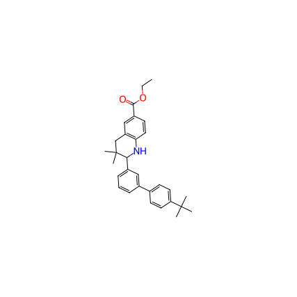 CCOC(=O)c1ccc2c(c1)CC(C)(C)C(c1cccc(-c3ccc(C(C)(C)C)cc3)c1)N2